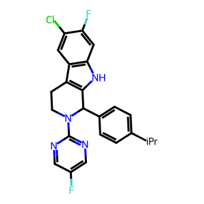 CC(C)c1ccc(C2c3[nH]c4cc(F)c(Cl)cc4c3CCN2c2ncc(F)cn2)cc1